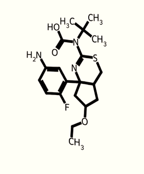 CCOC1CC2CSC(N(C(=O)O)C(C)(C)C)=NC2(c2cc(N)ccc2F)C1